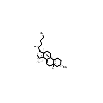 CC(C)CCC[C@@H](C)[C@H]1C[C@@H](O)[C@@H]2C3=CC[C@H]4C[C@@H](O)CC[C@]4(C)[C@H]3CC[C@]12C